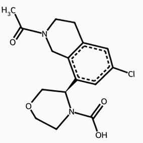 CC(=O)N1CCc2cc(Cl)cc([C@@H]3COCCN3C(=O)O)c2C1